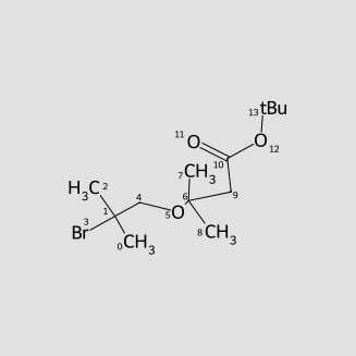 CC(C)(Br)COC(C)(C)CC(=O)OC(C)(C)C